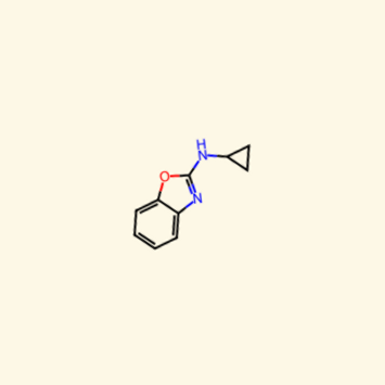 c1ccc2oc(NC3CC3)nc2c1